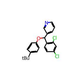 CC(C)(C)c1ccc(OC(c2cccnc2)c2ccc(Cl)cc2Cl)cc1